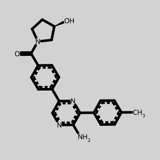 Cc1ccc(-c2nc(-c3ccc(C(=O)N4CC[C@@H](O)C4)cc3)cnc2N)cc1